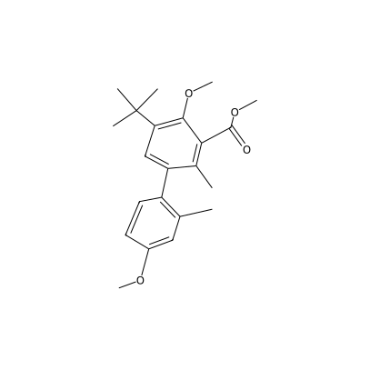 COC(=O)c1c(C)c(-c2ccc(OC)cc2C)cc(C(C)(C)C)c1OC